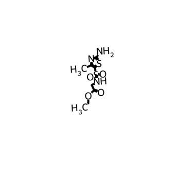 CCOC(=O)CNS(=O)(=O)c1sc(N)nc1C